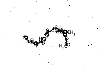 CC(=O)CCCOc1ccc2c(c1)N(C)CC/C2=N\NC(=O)CC(C)(C)SSCCC(=O)N1CCN(C2CCN(C(=O)NCc3ccc(NC(=O)[C@H]4C[C@@H]4c4cccnc4)cc3F)CC2)CC1